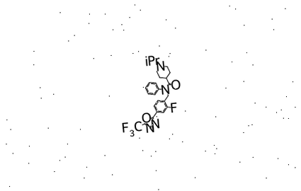 CC(C)N1CCC(C(=O)N(Cc2ccc(-c3nnc(C(F)(F)F)o3)cc2F)c2ccccc2)CC1